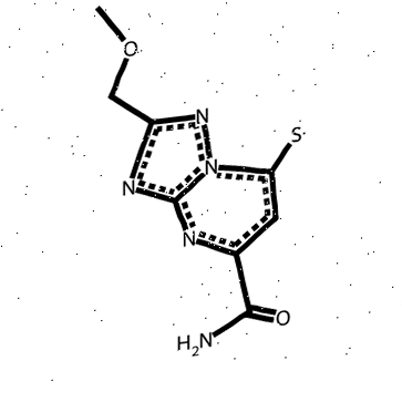 COCc1nc2nc(C(N)=O)cc([S])n2n1